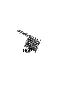 CCCCCCCCCC.CCCCCCCCCC.CCCCCCCCCC.CCCCCCCCCC.CCCCCCCCCC.CCCCCCCCCC.CCCCCCCCCC.CCCCCCCCCC.Cl.Cl.P